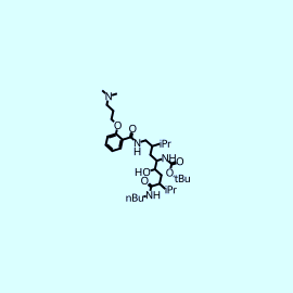 CCCCNC(=O)C(CC(O)C(CC(CNC(=O)c1ccccc1OCCCN(C)C)C(C)C)NC(=O)OC(C)(C)C)C(C)C